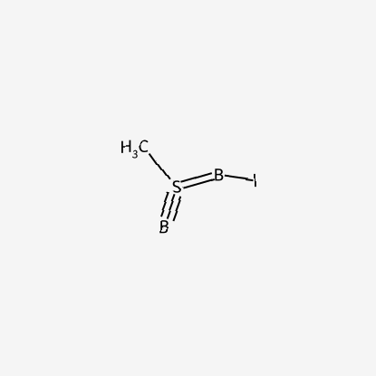 B#S(C)=BI